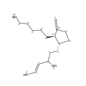 CCCC=CC(O)CC[C@H]1CCC(=O)[C@@H]1CCCCCC(C)CC